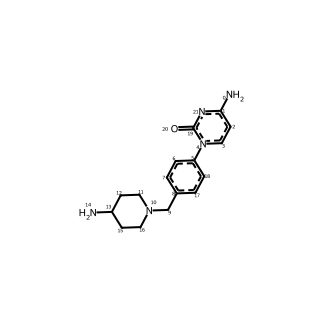 Nc1ccn(-c2ccc(CN3CCC(N)CC3)cc2)c(=O)n1